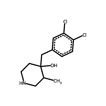 CC1CNCCC1(O)Cc1ccc(Cl)c(Cl)c1